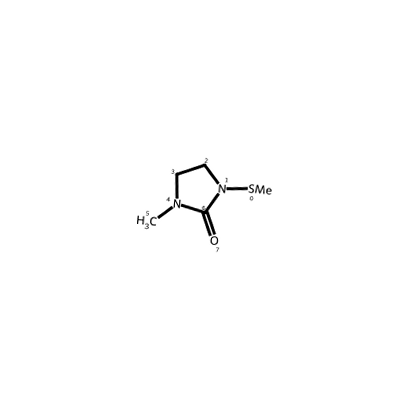 CSN1CCN(C)C1=O